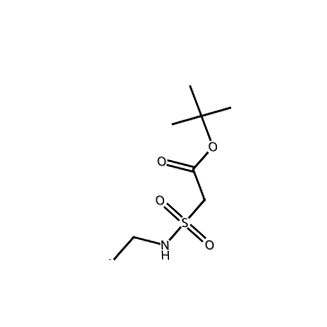 [CH2]CNS(=O)(=O)CC(=O)OC(C)(C)C